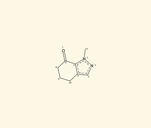 Cn1ncc2c1C(=O)CCC2